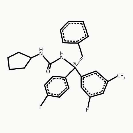 O=C(NC1CCCC1)N[C@](Cc1ccccc1)(c1ccc(I)cc1)c1cc(F)cc(C(F)(F)F)c1